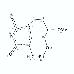 CO[C@@H](/C=C\n1cc(C)c(=O)[nH]c1=O)COC(C)(C)C